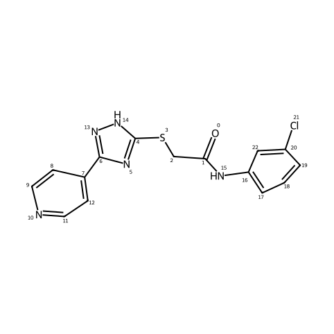 O=C(CSc1nc(-c2ccncc2)n[nH]1)Nc1cccc(Cl)c1